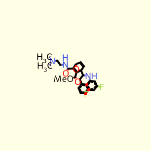 COC(=O)C1=C(C(=O)NCCN(C)C)C2C=CC1(C(Cc1ccccc1)Nc1cc(F)cc(F)c1)O2